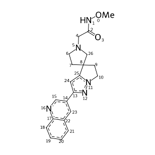 CONC(=O)CN1CCC2(CCn3nc(-c4cnc5ccccc5c4)cc32)C1